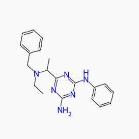 CCN(Cc1ccccc1)C(C)c1nc(N)nc(Nc2ccccc2)n1